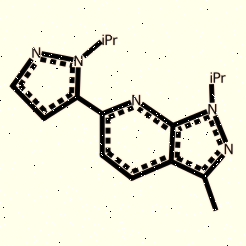 Cc1nn(C(C)C)c2nc(-c3ccnn3C(C)C)ccc12